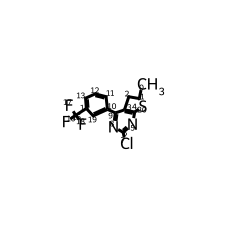 CC1Cc2c(nc(Cl)nc2-c2cccc(C(F)(F)F)c2)S1